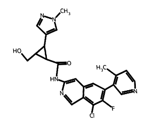 Cc1ccncc1-c1cc2cc(NC(=O)C3C(CO)C3c3cnn(C)c3)ncc2c(Cl)c1F